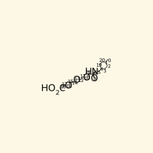 CC1CCC(CNC(=O)COCCOCCOCC(=O)O)CC1